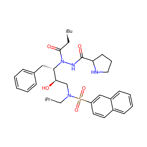 CC[C@H](C)CC(=O)N(NC(=O)C1CCCN1)[C@@H](Cc1ccccc1)[C@H](O)CN(CC(C)C)S(=O)(=O)c1ccc2ccccc2c1